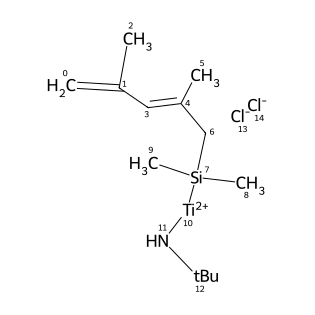 C=C(C)C=C(C)C[Si](C)(C)[Ti+2][NH]C(C)(C)C.[Cl-].[Cl-]